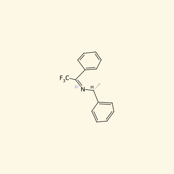 C[C@@H](/N=C(\c1ccccc1)C(F)(F)F)c1ccccc1